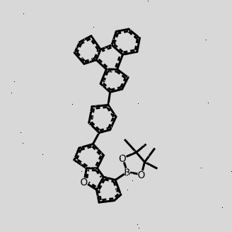 CC1(C)OB(c2cccc3oc4ccc(-c5ccc(-c6ccc7c8ccccc8c8ccccc8c7c6)cc5)cc4c23)OC1(C)C